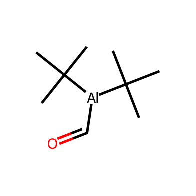 C[C](C)(C)[Al]([CH]=O)[C](C)(C)C